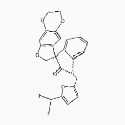 O=C1N(Cc2ccc(C(F)F)o2)c2ccccc2C12COc1cc3c(cc12)OCCO3